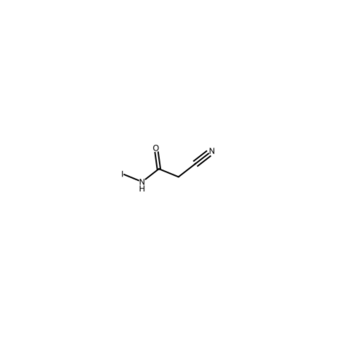 N#CCC(=O)NI